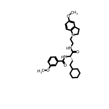 COc1cccc(C(=O)N[C@@H](CCC2CCCCC2)C(=O)NCCN2CCc3cc(OC)ccc32)c1